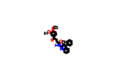 CCOc1ccc(C(=O)CCC(=O)Nc2nc3ccccc3c(-c3ccccc3)c2C)cc1OCC